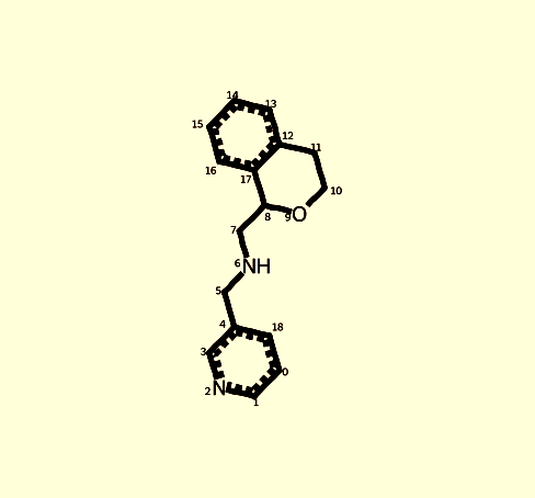 c1cncc(CNCC2OCCc3ccccc32)c1